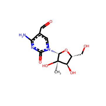 C[C@@]1(O)[C@H](O)[C@@H](CO)O[C@H]1n1cc(C=O)c(N)nc1=O